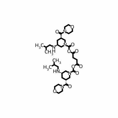 CC(C)CN[C@H]1C[C@@H](C(=O)N2CCOCC2)CN(C(=O)OC(=O)CCC(=O)OC(=O)N2C[C@@H](NCC(C)C)C[C@@H](C(=O)N3CCOCC3)C2)C1